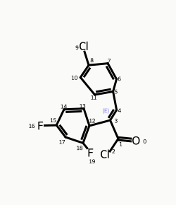 O=C(Cl)/C(=C/c1ccc(Cl)cc1)c1ccc(F)cc1F